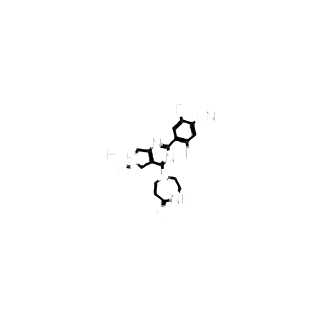 N#Cc1cc(F)c(-c2nc3c(c(N4CCNC(=O)CC4)n2)CS(O)(O)C3)cc1F